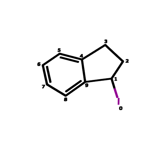 IC1CCc2ccccc21